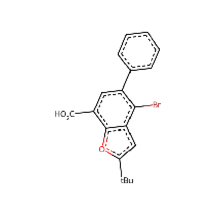 CC(C)(C)c1cc2c(Br)c(-c3ccccc3)cc(C(=O)O)c2o1